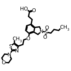 CCCCS(=O)(=O)N1Cc2c(CCC(=O)O)ccc(OCCc3nc(N4CCOCC4)sc3C)c2C1